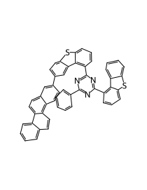 c1ccc(-c2nc(-c3cccc4sc5ccccc5c34)nc(-c3cccc4sc5ccc(-c6ccc7c(ccc8c9ccccc9ccc78)c6)cc5c34)n2)cc1